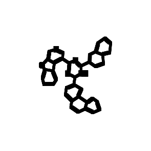 c1ccc2cc(C3=NC(c4cncc5oc6ccccc6c45)=NC(c4ccc5ccc6ccccc6c5c4)N3)ccc2c1